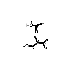 CC(=O)O.CC(C)C(C)C=O